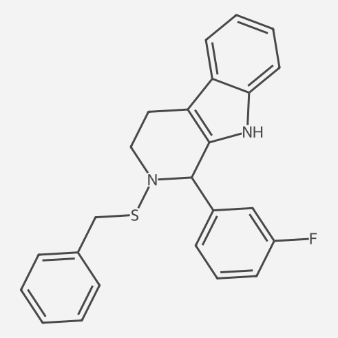 Fc1cccc(C2c3[nH]c4ccccc4c3CCN2SCc2ccccc2)c1